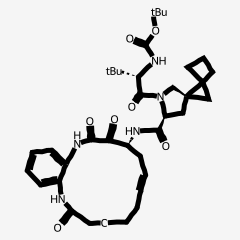 CC(C)(C)OC(=O)N[C@H](C(=O)N1C[C@]2(C[C@H]1C(=O)N[C@@H]1C/C=C/CCCCC(=O)Nc3ccccc3NC(=O)C1=O)CC21CCC1)C(C)(C)C